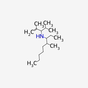 C=C(C)C(NC(CC)C(C)CCCCC)C(C)C